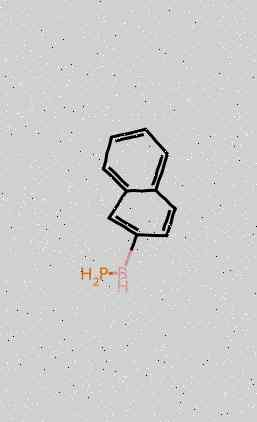 PBc1ccc2ccccc2c1